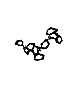 c1ccc(-n2ccc3c4c5ccccc5n(-c5ccc(-n6c7ccccc7c7ccccc76)cc5)c4ccc32)cc1